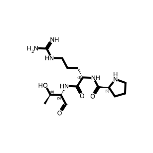 C[C@@H](O)[C@@H]([C]=O)NC(=O)[C@H](CCCNC(=N)N)NC(=O)[C@@H]1CCCN1